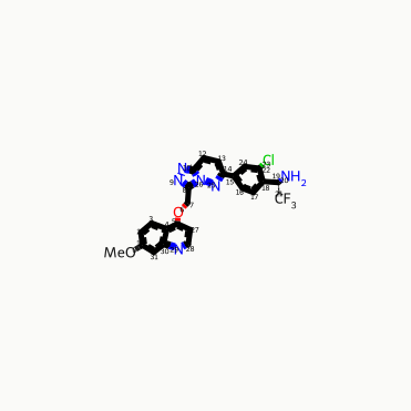 COc1ccc2c(OCc3nnc4ccc(-c5ccc([C@H](N)C(F)(F)F)c(Cl)c5)nn34)ccnc2c1